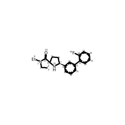 CCN1CC[C@@]2(CC[C@@H](c3cccc(-c4ccccc4F)c3)N2)C1=O